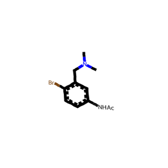 CC(=O)Nc1ccc(Br)c(CN(C)C)c1